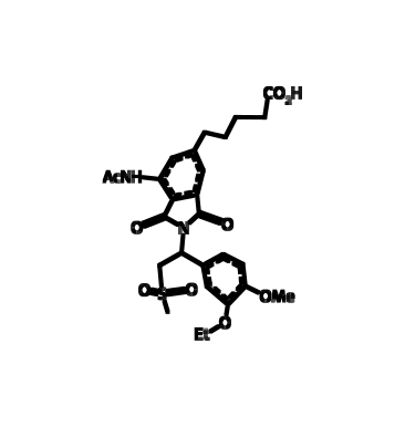 CCOc1cc(C(CS(C)(=O)=O)N2C(=O)c3cc(CCCCC(=O)O)cc(NC(C)=O)c3C2=O)ccc1OC